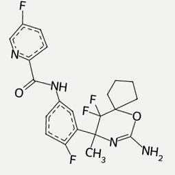 CC1(c2cc(NC(=O)c3ccc(F)cn3)ccc2F)N=C(N)OC2(CCCC2)C1(F)F